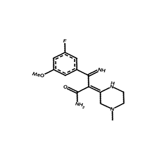 COc1cc(F)cc(C(=N)/C(C(N)=O)=C2/CN(C)CCN2)c1